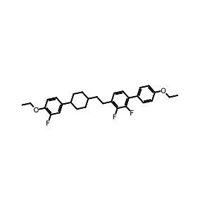 CCOc1ccc(-c2ccc(CCC3CCC(c4ccc(OCC)c(F)c4)CC3)c(F)c2F)cc1